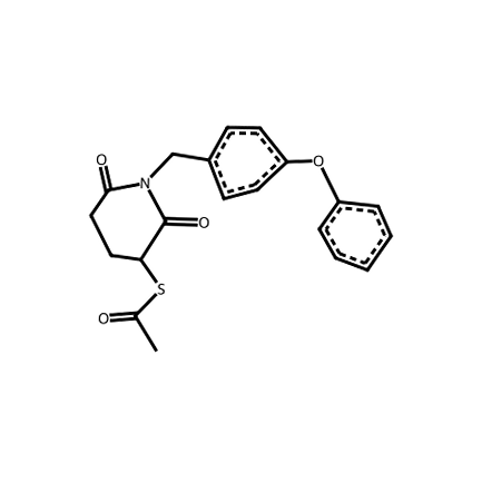 CC(=O)SC1CCC(=O)N(Cc2ccc(Oc3ccccc3)cc2)C1=O